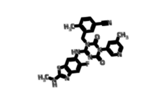 CNc1nc2cc(F)c(Nc3nc(=O)n(-c4cncc(C)c4)c(=O)n3Cc3cc(C#N)ccc3C)cc2s1